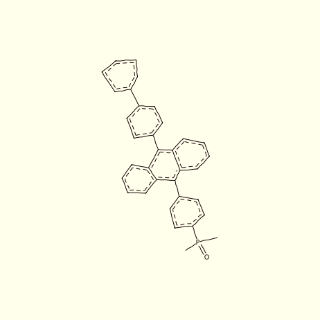 CP(C)(=O)c1ccc(-c2c3ccccc3c(-c3ccc(-c4ccccc4)cc3)c3ccccc23)cc1